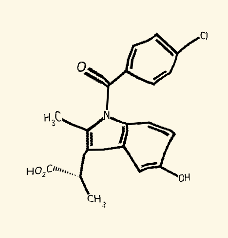 Cc1c([C@H](C)C(=O)O)c2cc(O)ccc2n1C(=O)c1ccc(Cl)cc1